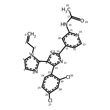 C=CCn1ccnc1-c1sc(-c2ccnc(NC(C)=O)c2)nc1-c1ccc(Cl)cc1Cl